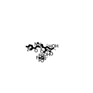 Cc1ccc(C(=O)c2ncn3cc(C4=C(C(=O)O)N5C(=O)[C@H]([C@@H](C)O)[C@H]5[C@H]4C)sc23)c[n+]1C.O=S(=O)([O-])C(F)(F)F